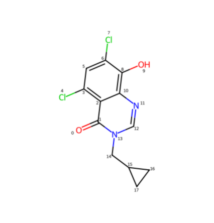 O=c1c2c(Cl)cc(Cl)c(O)c2ncn1CC1CC1